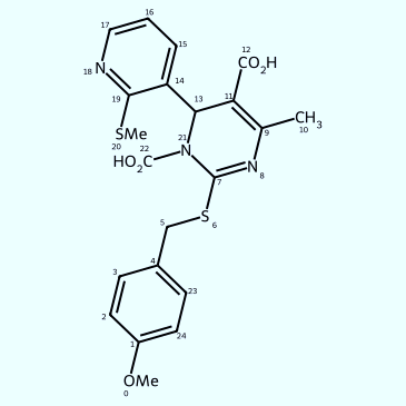 COc1ccc(CSC2=NC(C)=C(C(=O)O)C(c3cccnc3SC)N2C(=O)O)cc1